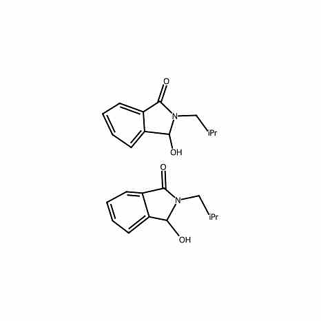 CC(C)CN1C(=O)c2ccccc2C1O.CC(C)CN1C(=O)c2ccccc2C1O